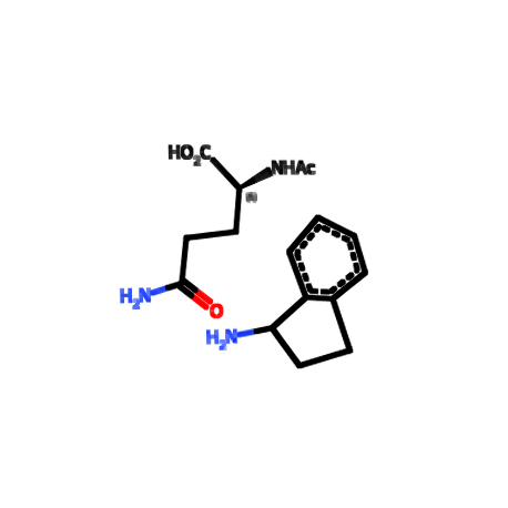 CC(=O)N[C@@H](CCC(N)=O)C(=O)O.NC1CCc2ccccc21